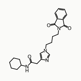 O=C(Cc1cn(CCCCN2C(=O)c3ccccc3C2=O)cn1)NC1CCCCC1